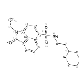 CCN1C(=O)c2cccc3c(S(=O)(=O)NCCC4CCCCC4)ccc1c23